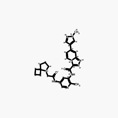 Cc1ncc(NC(=O)CN2CCCC23CCC3)cc1NC(=O)c1nnc2cc(-c3cnn(C)c3)ccn12